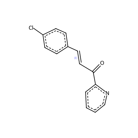 O=C(/C=C/c1ccc(Cl)cc1)c1ccccn1